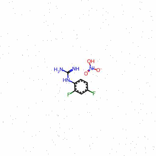 N=C(N)Nc1ccc(F)cc1F.O=[N+]([O-])O